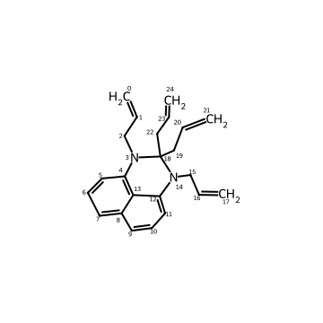 C=CCN1c2cccc3cccc(c23)N(CC=C)C1(CC=C)CC=C